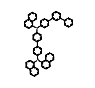 c1ccc(-c2cccc(-c3ccc(N(c4ccc(-c5ccc(N(c6cccc7ccccc67)c6cccc7ccccc67)cc5)cc4)c4cccc5ccccc45)cc3)c2)cc1